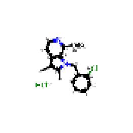 Cc1c(C)n(Cc2ccccc2Cl)c2c(OCC(C)C)nccc12.Cl